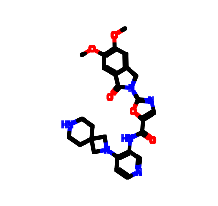 COc1cc2c(cc1OC)C(=O)N(c1ncc(C(=O)Nc3cnccc3N3CC4(CCNCC4)C3)o1)C2